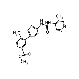 COC(=O)c1ccc(C)c(-c2ccc(NC(=O)Nc3cnncc3C)cc2)c1